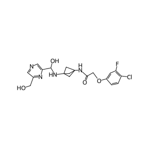 O=C(COc1ccc(Cl)c(F)c1)NC12CC(NC(O)c3cncc(CO)n3)(C1)C2